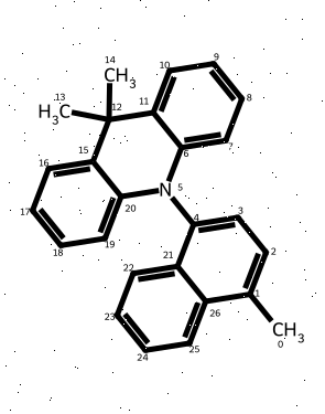 Cc1ccc(N2c3ccccc3C(C)(C)c3ccccc32)c2ccccc12